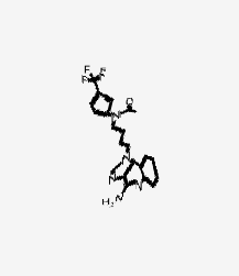 CC(=O)N(CCCCn1cnc2c(N)nc3ccccc3c21)c1ccc(C(F)(F)F)cc1